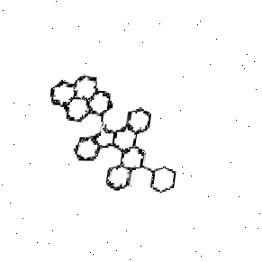 C1=C(c2cc3c4ccccc4c4c(c5ccccc5n4-c4ccc5ccc6cccc7ccc4c5c67)c3c3ccccc23)CCCC1